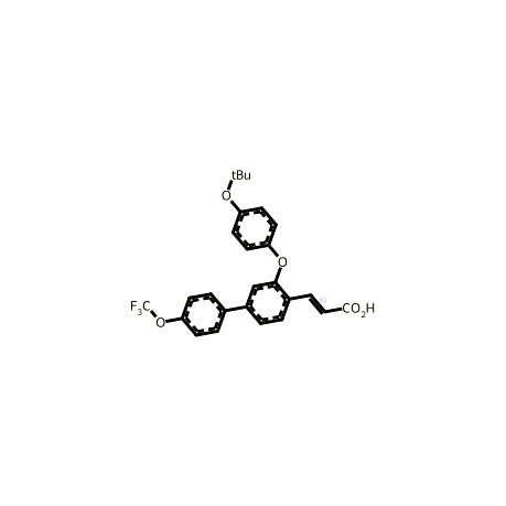 CC(C)(C)Oc1ccc(Oc2cc(-c3ccc(OC(F)(F)F)cc3)ccc2/C=C/C(=O)O)cc1